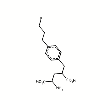 NC(CC(Cc1ccc(CCCF)cc1)C(=O)O)C(=O)O